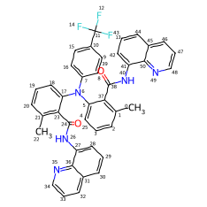 Cc1cccc(N(c2ccc(C(F)(F)F)cc2)c2cccc(C)c2C(=O)Nc2cccc3cccnc23)c1C(=O)Nc1cccc2cccnc12